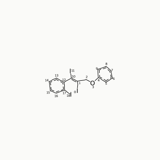 IC(COc1ccccc1)=C(I)c1ccccc1I